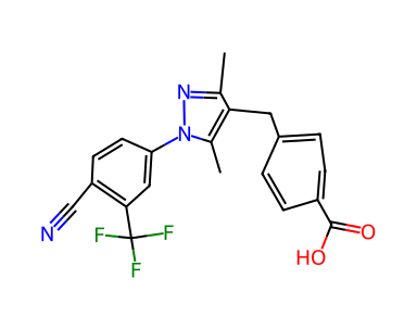 Cc1nn(-c2ccc(C#N)c(C(F)(F)F)c2)c(C)c1Cc1ccc(C(=O)O)cc1